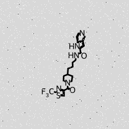 O=C(NCCCCC1CCN(C(=O)c2csc(C(F)(F)F)n2)CC1)c1cc2cnccc2[nH]1